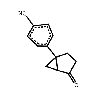 N#Cc1ccc(C23CCC(=O)C2C3)cc1